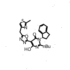 CCCCc1nc(O)c(-c2nnc(Cc3csc(C)n3)o2)c(=O)n1[C@H]1CCc2ccccc21